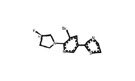 F[C@@H]1CCN(c2ncc(-c3nccs3)cc2Br)C1